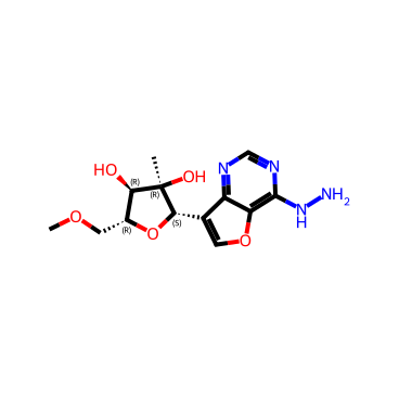 COC[C@H]1O[C@@H](c2coc3c(NN)ncnc23)[C@](C)(O)[C@@H]1O